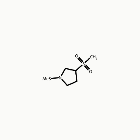 CSN1CCC(S(C)(=O)=O)C1